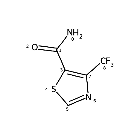 NC(=O)c1scnc1C(F)(F)F